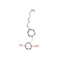 CCCCCCc1ccc(Sc2cc(O)ccc2O)cc1